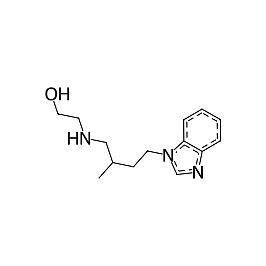 CC(CCn1cnc2ccccc21)CNCCO